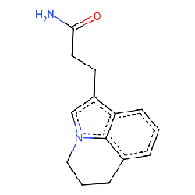 NC(=O)CCc1cn2c3c(cccc13)CCC2